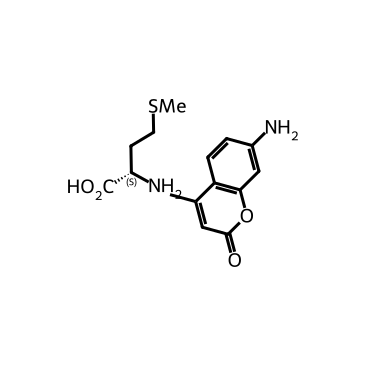 CSCC[C@H](N)C(=O)O.Cc1cc(=O)oc2cc(N)ccc12